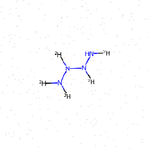 [2H]NN([2H])N([2H])N([2H])[2H]